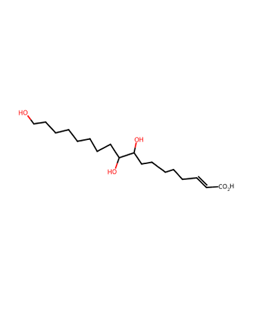 O=C(O)C=CCCCCCC(O)C(O)CCCCCCCCO